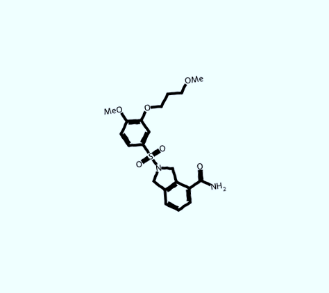 COCCCOc1cc(S(=O)(=O)N2Cc3cccc(C(N)=O)c3C2)ccc1OC